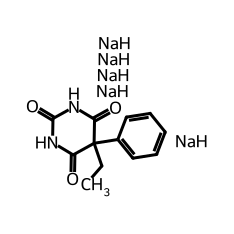 CCC1(c2ccccc2)C(=O)NC(=O)NC1=O.[NaH].[NaH].[NaH].[NaH].[NaH]